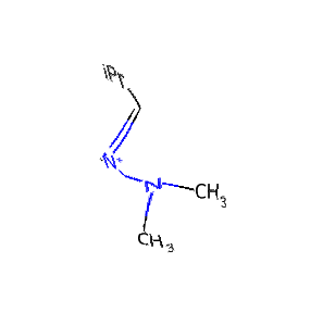 CC(C)C=[N+]N(C)C